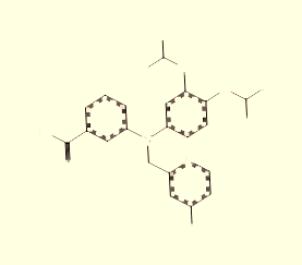 O=C(O)c1cccc(N(Cc2cc(Cl)ccn2)c2ccc(OC(F)F)c(OC(F)F)c2)c1